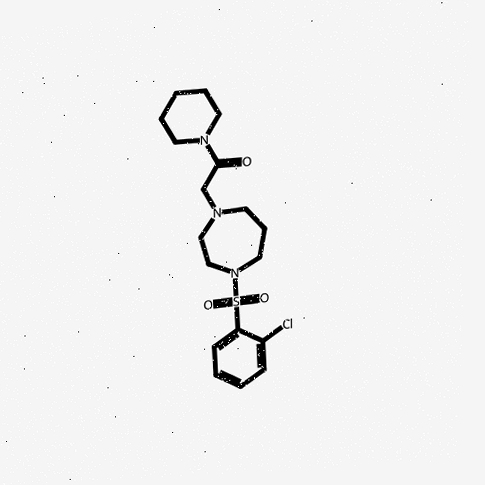 O=C(CN1CCCN(S(=O)(=O)c2ccccc2Cl)CC1)N1CCCCC1